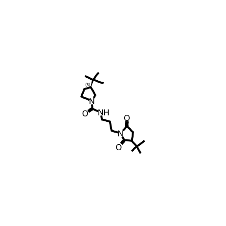 CC(C)(C)C1CC(=O)N(CCCNC(=O)N2CC[C@@H](C(C)(C)C)C2)C1=O